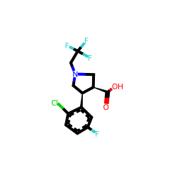 O=C(O)[C@@H]1CN(CC(F)(F)F)C[C@@H]1c1cc(F)ccc1Cl